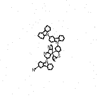 N#Cc1ccc2c(c1)c1ccccc1n2-c1cnc2c(c1)C1(c3ccccc3Sc3ccc(-n4c5ccccc5c5cc(-n6c7ccccc7c7ccccc76)ccc54)cc31)c1cccnc1-2